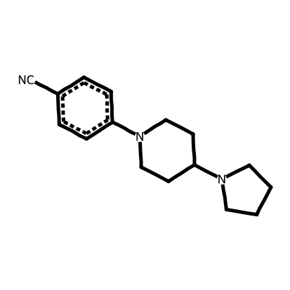 N#Cc1ccc(N2CCC(N3CCCC3)CC2)cc1